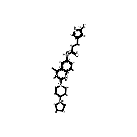 Cc1nc(N2CCC(N3CCCC3)CC2)nc2ccc(NC(=O)CCc3csc(Cl)c3)cc12